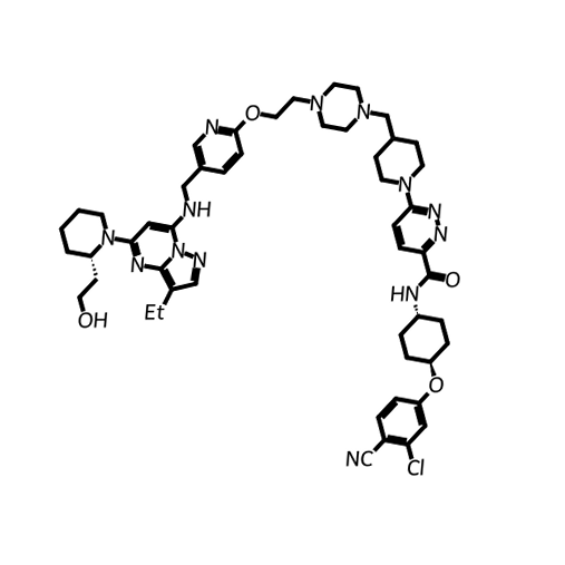 CCc1cnn2c(NCc3ccc(OCCN4CCN(CC5CCN(c6ccc(C(=O)N[C@H]7CC[C@H](Oc8ccc(C#N)c(Cl)c8)CC7)nn6)CC5)CC4)nc3)cc(N3CCCC[C@H]3CCO)nc12